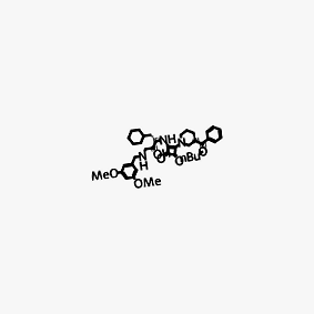 CCCCO[C@@H](c1ccccc1)[C@@H]1CCCN(c2c(N[C@@H](CC3CCCCC3)[C@H](O)CNCc3cc(OC)cc(OC)c3)c(=O)c2=O)C1